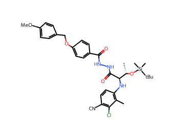 [C-]#[N+]c1ccc(N[C@@H](C(=O)NNC(=O)c2ccc(OCc3ccc(OC)cc3)cc2)[C@H](C)O[Si](C)(C)C(C)(C)C)c(C)c1Cl